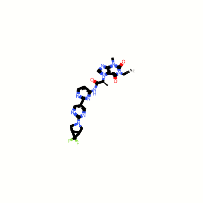 CC(=O)Cn1c(=O)c2c(ncn2[C@@H](C)C(=O)Nc2ccnc(-c3cnc(N4CC5C(C4)C5(F)F)nc3)n2)n(C)c1=O